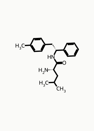 Cc1ccc(C[C@@H](NC(=O)[C@@H](N)CC(C)C)c2ccccc2)cc1